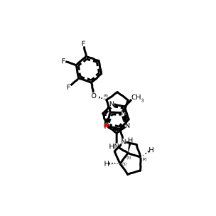 Cc1cc(N2C[C@H]3CC[C@@H](C2)[C@@H]3Nc2nc3n(n2)CC[C@H]3Oc2ccc(F)c(F)c2F)ncn1